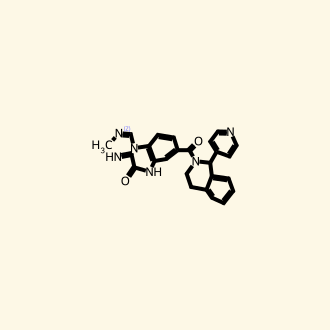 C/N=C\n1c(=N)c(=O)[nH]c2cc(C(=O)N3CCc4ccccc4C3c3ccncc3)ccc21